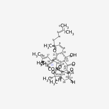 CC(C)=CCC[C@]1(C)C=Cc2c(O)c3c(c(CC=C(C)C)c2O1)O[C@]12C(=C[C@@H]4C[C@H]1C(C)(C)OC2(C/C=C(/C)C(=O)O)C4=O)C3=O